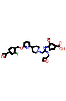 COc1cc(C(=O)O)cc2c1nc(CN1CCC(c3cccc(OCc4ccc(C5COC5)cc4F)n3)CC1)n2CC1CCO1